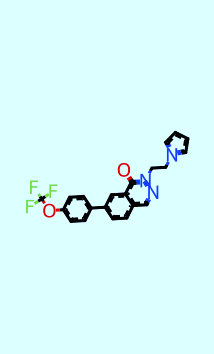 O=c1c2cc(-c3ccc(OC(F)(F)F)cc3)ccc2cnn1CCn1cccc1